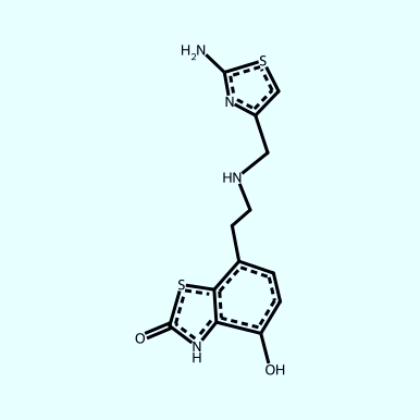 Nc1nc(CNCCc2ccc(O)c3[nH]c(=O)sc23)cs1